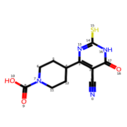 N#Cc1c(C2CCN(C(=O)O)CC2)nc(S)[nH]c1=O